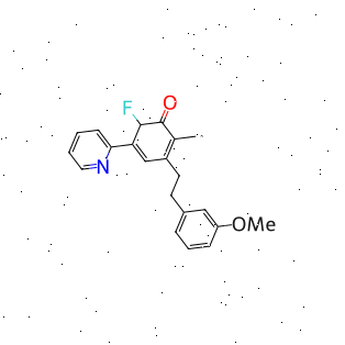 [CH2]C1=C(CCc2cccc(OC)c2)C=C(c2ccccn2)C(F)C1=O